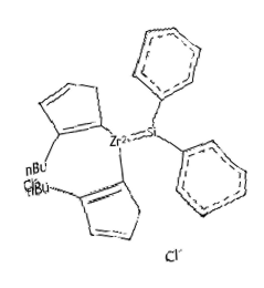 CCCCC1=[C]([Zr+2]([C]2=C(CCCC)C=CC2)=[Si](c2ccccc2)c2ccccc2)CC=C1.[Cl-].[Cl-]